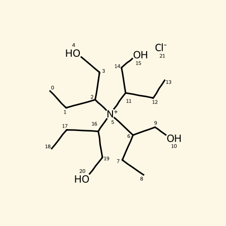 CCC(CO)[N+](C(CC)CO)(C(CC)CO)C(CC)CO.[Cl-]